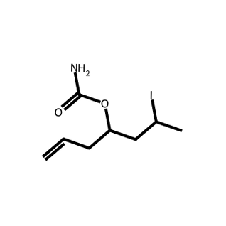 C=CCC(CC(C)I)OC(N)=O